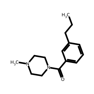 CCCc1cccc(C(=O)N2CCN(C)CC2)c1